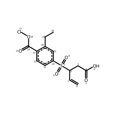 C=CC(CC(=O)O)S(=O)(=O)c1ccc(C(=O)OCl)c(CC)c1